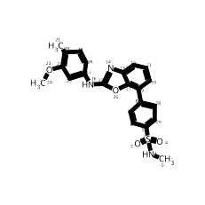 CNS(=O)(=O)c1ccc(-c2cccc3nc(Nc4ccc(C)c(OC)c4)oc23)cc1